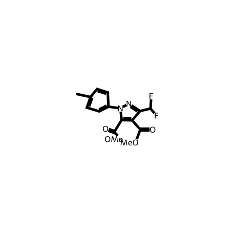 COC(=O)c1c(C(F)F)nn(-c2ccc(C)cc2)c1C(=O)OC